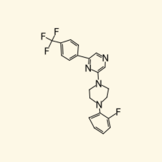 Fc1ccccc1N1CCN(c2cncc(-c3ccc(C(F)(F)F)cc3)n2)CC1